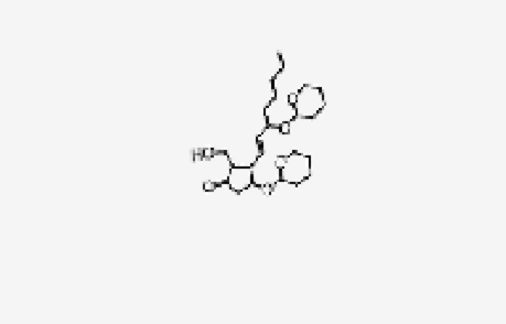 CCCCCC(/C=C/C1C(OC2CCCCO2)CC(=O)C1CO)OC1CCCCO1